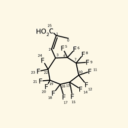 CC(=CC1C(F)(F)C(F)(F)C(F)(F)C(F)(F)C(F)(F)C(F)(F)C1(F)F)C(=O)O